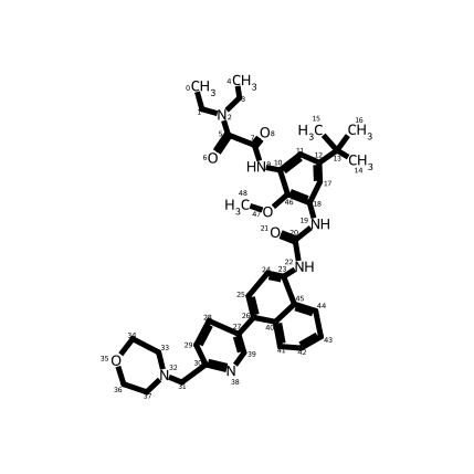 CCN(CC)C(=O)C(=O)Nc1cc(C(C)(C)C)cc(NC(=O)Nc2ccc(-c3ccc(CN4CCOCC4)nc3)c3ccccc23)c1OC